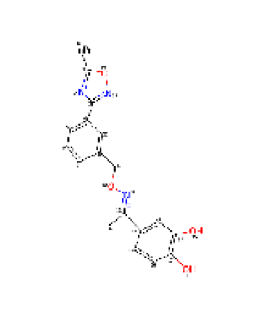 CCCc1nc(-c2cccc(CO/N=C(\C)c3ccc(O)c(O)c3)c2)no1